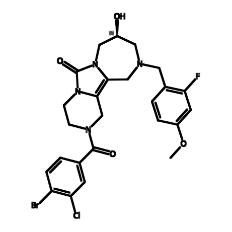 COc1ccc(CN2Cc3c4n(c(=O)n3C[C@@H](O)C2)CCN(C(=O)c2ccc(Br)c(Cl)c2)C4)c(F)c1